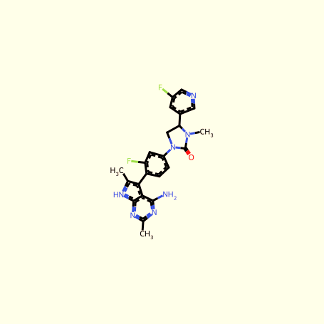 Cc1nc(N)c2c(-c3ccc(N4CC(c5cncc(F)c5)N(C)C4=O)cc3F)c(C)[nH]c2n1